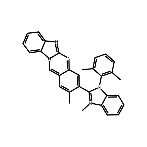 Cc1cc2cn3c(nc2cc1-c1n(-c2c(C)cccc2C)c2ccccc2[n+]1C)nc1ccccc13